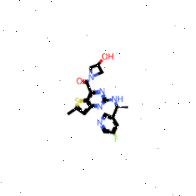 Cc1cc2nc(N[C@@H](C)c3cncc(F)c3)nc(C(=O)N3CC(O)C3)c2s1